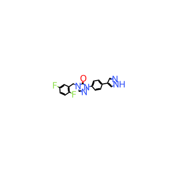 O=c1n(Cc2cc(F)ccc2F)cnn1-c1ccc(-c2cn[nH]c2)cc1